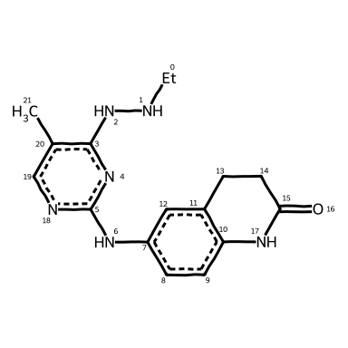 CCNNc1nc(Nc2ccc3c(c2)CCC(=O)N3)ncc1C